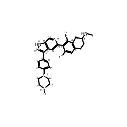 CNC1CCc2cc(F)c(-c3cc4c(-c5ccc(N6CCN(C)CC6)cc5)n[nH]c4cn3)c(F)c2C1